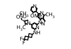 COc1ccncc1-c1cc2c(cnn2-c2cc(N3C[C@H](CS(C)(=O)=O)[C@H]3C)cc(NC3CC4(C3)CC(F)(F)C4)n2)c(C)n1